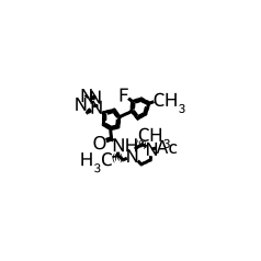 CC(=O)N1CCN(C[C@@H](C)NC(=O)c2cc(-c3ccc(C)cc3F)cc(-n3cnnn3)c2)C[C@@H]1C